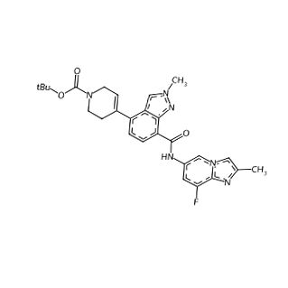 Cc1cn2cc(NC(=O)c3ccc(C4=CCN(C(=O)OC(C)(C)C)CC4)c4cn(C)nc34)cc(F)c2n1